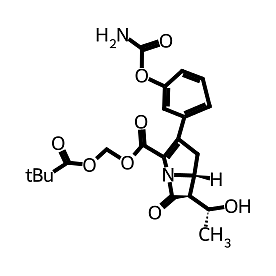 C[C@@H](O)[C@H]1C(=O)N2C(C(=O)OCOC(=O)C(C)(C)C)=C(c3cccc(OC(N)=O)c3)C[C@H]12